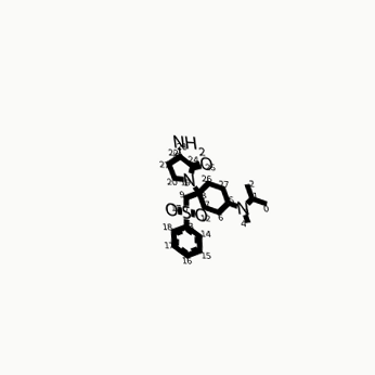 CC(C)N(C)C1CCC(CS(=O)(=O)c2ccccc2)(N2CC[C@H](N)C2=O)CC1